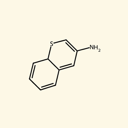 NC1=CSC2C=CC=CC2=C1